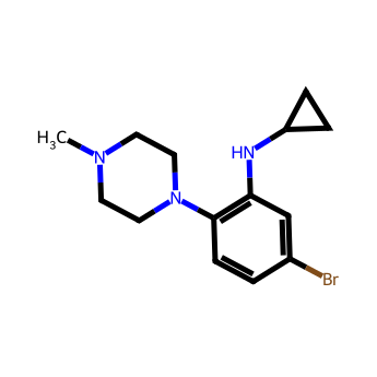 CN1CCN(c2ccc(Br)cc2NC2CC2)CC1